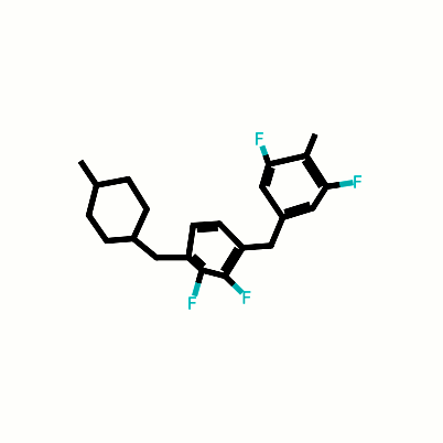 Cc1c(F)cc(Cc2ccc(CC3CCC(C)CC3)c(F)c2F)cc1F